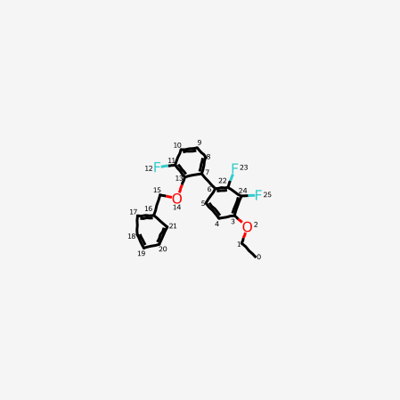 CCOc1ccc(-c2cccc(F)c2OCc2ccccc2)c(F)c1F